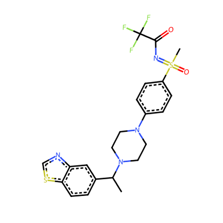 CC(c1ccc2scnc2c1)N1CCN(c2ccc(S(C)(=O)=NC(=O)C(F)(F)F)cc2)CC1